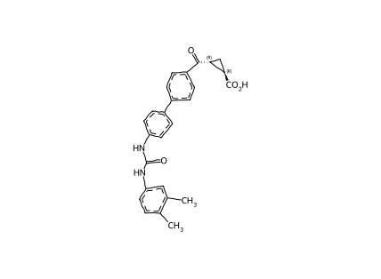 Cc1ccc(NC(=O)Nc2ccc(-c3ccc(C(=O)[C@@H]4C[C@H]4C(=O)O)cc3)cc2)cc1C